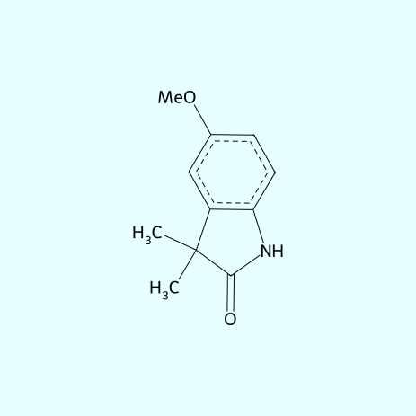 COc1ccc2c(c1)C(C)(C)C(=O)N2